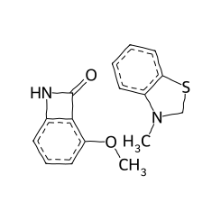 CN1CSc2ccccc21.COc1cccc2c1C(=O)N2